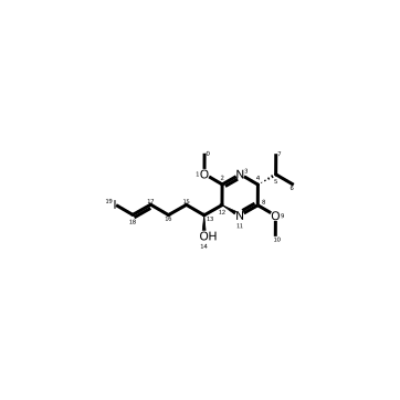 COC1=N[C@H](C(C)C)C(OC)=N[C@H]1[C@@H](O)CCC=CI